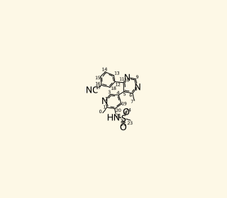 Cc1ncc(-c2c(C)ncnc2-c2cccc(C#N)c2)cc1NS(C)(=O)=O